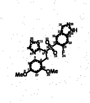 COc1ccc(CN(c2ncns2)S(=O)(=O)c2cc3cn[nH]c3cc2F)c(OC)c1